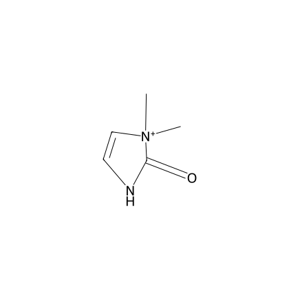 C[N+]1(C)C=CNC1=O